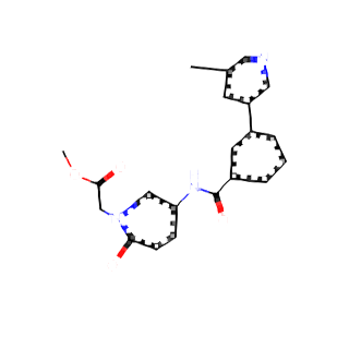 COC(=O)Cn1cc(NC(=O)c2cccc(-c3cncc(C)c3)c2)ccc1=O